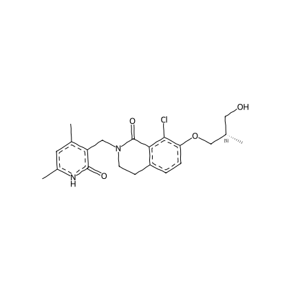 Cc1cc(C)c(CN2CCc3ccc(OC[C@@H](C)CO)c(Cl)c3C2=O)c(=O)[nH]1